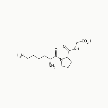 NCCCC[C@H](N)C(=O)N1CCC[C@H]1C(=O)NCC(=O)O